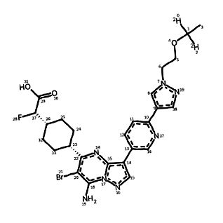 [2H]C([2H])(C)OCCn1cc(-c2ccc(-c3cnn4c(N)c(Br)c([C@H]5CC[C@@H](C(F)C(=O)O)CC5)nc34)cn2)cn1